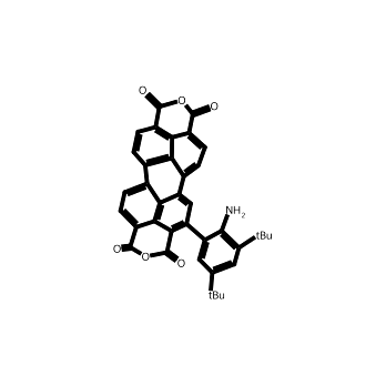 CC(C)(C)c1cc(-c2cc3c4ccc5c6c(ccc(c7ccc8c(c2C(=O)OC8=O)c73)c64)C(=O)OC5=O)c(N)c(C(C)(C)C)c1